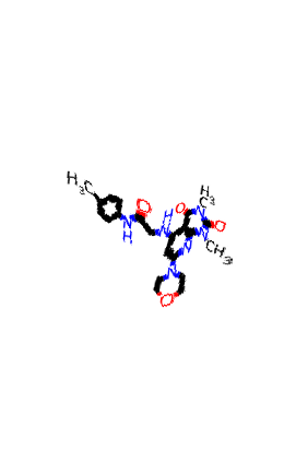 Cc1ccc(NC(=O)CNc2cc(N3CCOCC3)nc3c2c(=O)n(C)c(=O)n3C)cc1